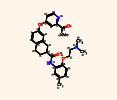 CNC(=O)c1cc(Oc2ccc3c(c2)CC(C(=O)Nc2cc(C(F)(F)F)ccc2OCCN(C)C)CC3)ccn1